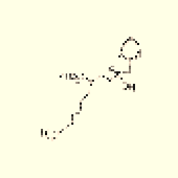 O=C(O)CCCCCC(CCP(=O)(O)Cc1ccccc1)C(=O)O